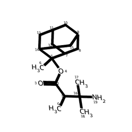 CC(C(=O)OC1(C)C2CC3CC(C2)CC1C3)C(C)(C)N